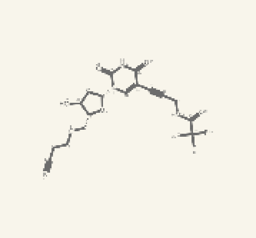 N#CCCOC[C@H]1O[C@@H](n2cc(C#CCNC(=O)C(F)(F)F)c(=O)[nH]c2=O)C[C@@H]1O